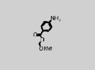 COCOC(=O)c1ccc(N)cc1